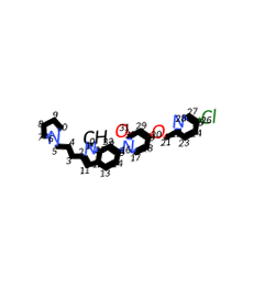 CN1C(CCCN2CCCC2)=CC2C=CC(n3ccc(OCc4ccc(Cl)cn4)cc3=O)=CC21